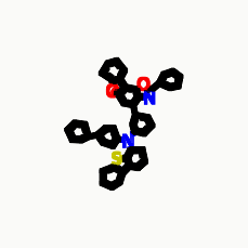 c1ccc(-c2ccc(N(c3cccc(-c4cc5oc6ccccc6c5c5oc(-c6ccccc6)nc45)c3)c3cccc4c3sc3ccccc34)cc2)cc1